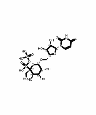 O=c1ccn([C@@H]2O[C@H](CO[C@H]3O[C@@](CO)(P(=O)(O)OP(=O)(O)O)[C@H](O)[C@H](O)[C@H]3O)[C@@H](O)[C@H]2O)c(=O)[nH]1